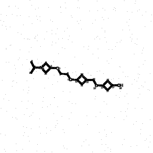 CC(C)N1CC(OCCOC2CC(COC3CC(O)C3)C2)C1